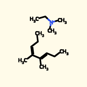 CCC=C(C)C(C)=CCC.CCN(C)C